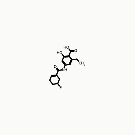 CCc1cc(NC(=O)C2=CCCC(F)C2)cc(O)c1C(=O)O